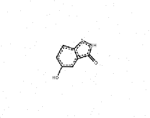 O=c1[nH]sc2ccc(O)cc12